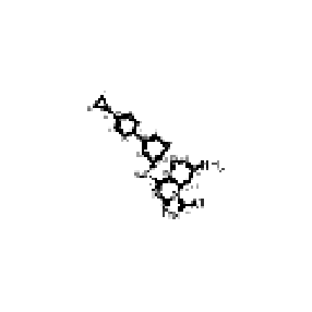 CN(c1cccc(-c2ccc(C3CC3)cc2)c1)c1nc2nnc(Cl)n2c2cc(N)ccc12